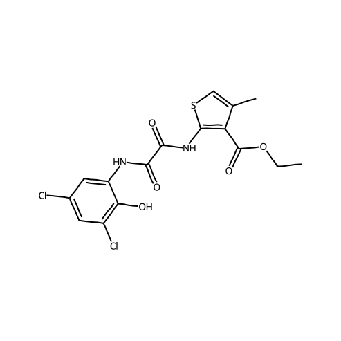 CCOC(=O)c1c(C)csc1NC(=O)C(=O)Nc1cc(Cl)cc(Cl)c1O